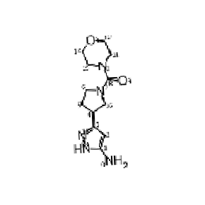 Nc1cc(C2CCN(C(=O)N3CCOCC3)C2)n[nH]1